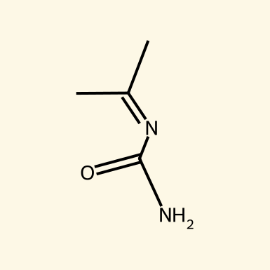 CC(C)=NC(N)=O